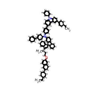 C=CC1CC=C(c2ccc3c(c2)c2cc(-c4ccc(N(c5ccc6c(c5)C(CC[SiH](C)CCOc5ccc7c(c5)CCC(C5CCC(C=C)CC5)=C7)(C5=CCCC=C5)C5C=CCCC65)C5CC=C(C6=CC=CCC6)CC5)cc4)ccc2n3C2C=CC=CC2)CC1